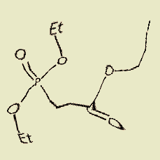 CCOP(=O)(CC(=O)OCI)OCC